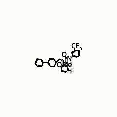 COC1(CN(C(=O)Nc2cccc(C(F)(F)F)c2)c2cccc(F)c2)C=CC(c2ccccc2)=CC1